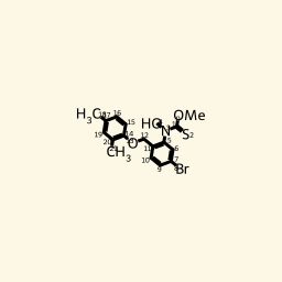 COC(=S)N(O)c1cc(Br)ccc1COc1ccc(C)cc1C